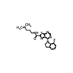 CN(C)CCCNC(=O)c1nc2c(N3CCc4cccc(F)c43)ncnc2s1